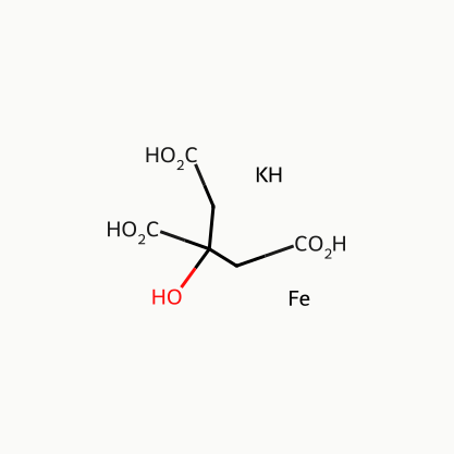 O=C(O)CC(O)(CC(=O)O)C(=O)O.[Fe].[KH]